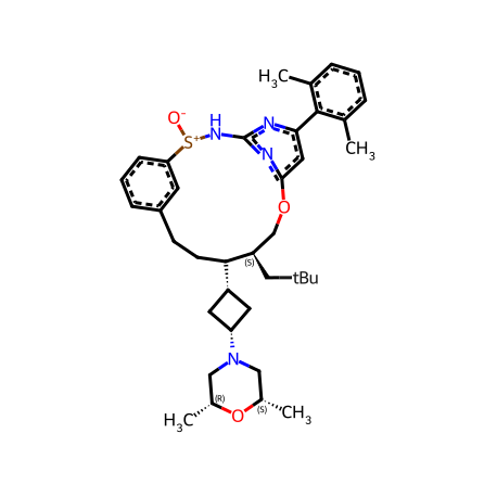 Cc1cccc(C)c1-c1cc2nc(n1)N[S+]([O-])c1cccc(c1)CCC([C@H]1C[C@@H](N3C[C@@H](C)O[C@@H](C)C3)C1)[C@H](CC(C)(C)C)CO2